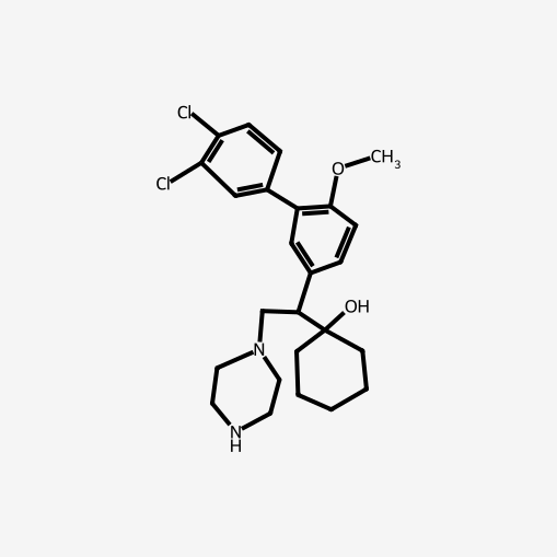 COc1ccc(C(CN2CCNCC2)C2(O)CCCCC2)cc1-c1ccc(Cl)c(Cl)c1